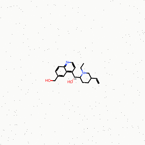 C=CC1CCC([C@H](O)c2ccnc3ccc(CO)cc23)N(CC)C1